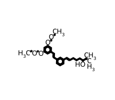 CCOCOc1cc(/C=C/c2cccc(/C=C/CCCC(O)C(C)C)c2)cc(OCOCC)c1